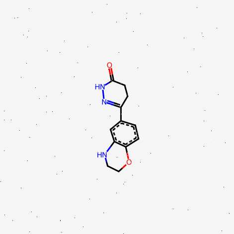 O=C1CCC(c2ccc3c(c2)NCCO3)=NN1